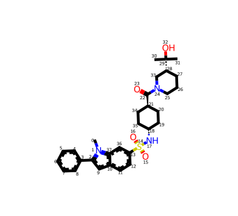 Cn1c(-c2ccccc2)cc2ccc(S(=O)(=O)N[C@H]3CC[C@H](C(=O)N4CCC[C@@H](C(C)(C)O)C4)CC3)cc21